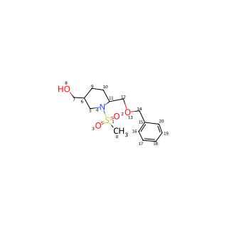 CS(=O)(=O)N1CC(CO)CCC1COCc1ccccc1